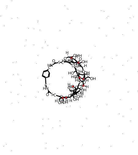 O=C1NCc2ccc(cc2)CNC(=O)SC[C@H]2O[C@@H]3O[C@H]4C(O)C(O)[C@H](O[C@@H]4CO)O[C@H]4C(O)C(O)[C@H](O[C@@H]4CO)O[C@H]4C(O)C(O)[C@H](O[C@@H]4CO)O[C@H]4C(O)C(O)[C@H](O[C@@H]4CS1)O[C@H]1C(O)C(O)[C@H](O[C@@H]1CO)O[C@H]1C(O)C(O)[C@H](O[C@@H]1CO)O[C@H]2C(O)C3O